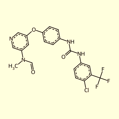 CN(C=O)c1cncc(Oc2ccc(NC(=O)Nc3ccc(Cl)c(C(F)(F)F)c3)cc2)c1